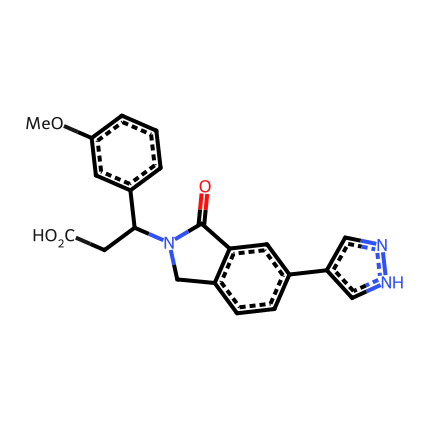 COc1cccc(C(CC(=O)O)N2Cc3ccc(-c4cn[nH]c4)cc3C2=O)c1